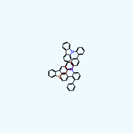 c1ccc(-c2ccccc2-c2c(-c3ccccc3)cccc2N(c2ccc(-c3ccccc3-n3c4ccccc4c4ccccc43)cc2)c2ccc3c(c2)sc2ccccc23)cc1